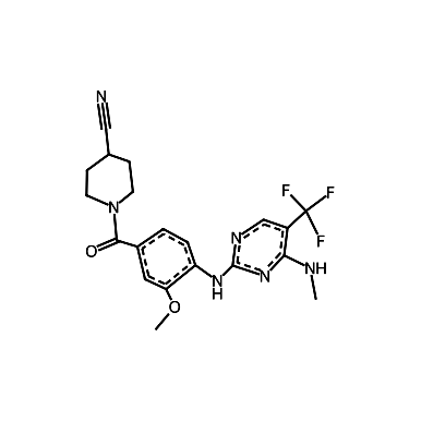 CNc1nc(Nc2ccc(C(=O)N3CCC(C#N)CC3)cc2OC)ncc1C(F)(F)F